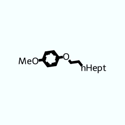 CCCCCCCCCOc1ccc(OC)cc1